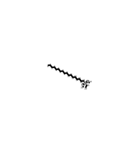 CCCCCCCCCCCCCCCCCC[Si](CC)(OC)OC